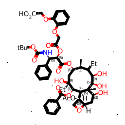 CCC1[C@@H](O)[C@@H](O)[C@@]2(C)[C@H]([C@H](OC(=O)c3ccccc3)[C@@](O)(CC)C[C@H](OC(=O)[C@H](OC(=O)COc3ccccc3OCC(=O)O)[C@@H](NC(=O)OC(C)(C)C)c3ccccc3)[C@H]1C)[C@]1(OC(C)=O)CO[C@@H]1C[C@@H]2O